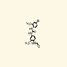 Cc1cc(NC(=O)Nc2ccc(Br)cc2C)ccc1NC=O